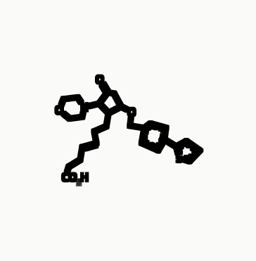 O=C(O)CCC=CCCC1C(OCc2ccc(-c3cccs3)cc2)CC(=O)C1N1CCOCC1